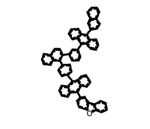 c1cc(-c2ccc3ccccc3c2-c2ccc(-c3c4ccccc4c(-c4ccc5oc6ccccc6c5c4)c4ccccc34)cc2)cc(-c2c3ccccc3c(-c3ccc4ccccc4c3)c3ccccc23)c1